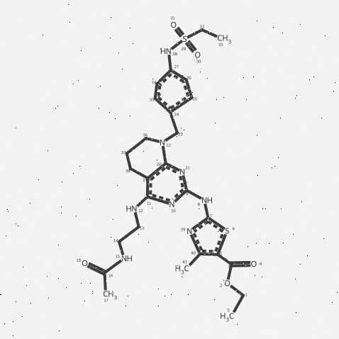 CCOC(=O)c1sc(Nc2nc(NCCNC(C)=O)c3c(n2)N(Cc2ccc(NS(=O)(=O)CC)cc2)CCC3)nc1C